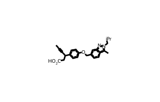 CC#CC(CC(=O)O)c1ccc(OCc2ccc3c(C)n(CC(C)C)nc3c2)cc1